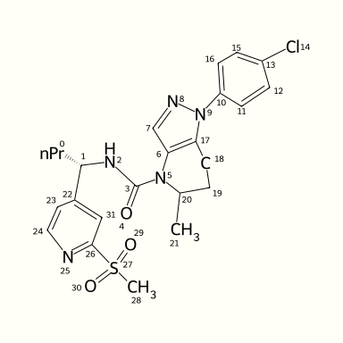 CCC[C@H](NC(=O)N1c2cnn(-c3ccc(Cl)cc3)c2CCC1C)c1ccnc(S(C)(=O)=O)c1